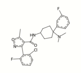 Cc1onc(-c2c(F)cccc2Cl)c1C(=O)NC1CCC(c2cccc(F)c2)(N(C)C)CC1